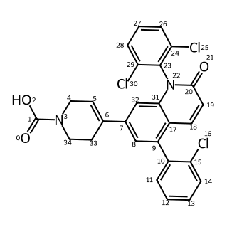 O=C(O)N1CC=C(c2cc(-c3ccccc3Cl)c3ccc(=O)n(-c4c(Cl)cccc4Cl)c3c2)CC1